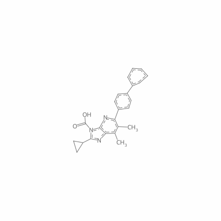 Cc1c(-c2ccc(-c3ccccc3)cc2)nc2c(nc(C3CC3)n2C(=O)O)c1C